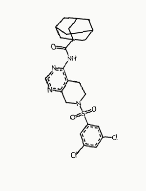 O=C(Nc1ncnc2c1CCN(S(=O)(=O)c1cc(Cl)cc(Cl)c1)C2)C12CC3CC(CC(C3)C1)C2